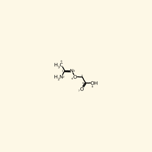 C/C(N)=N/OCC(=O)O